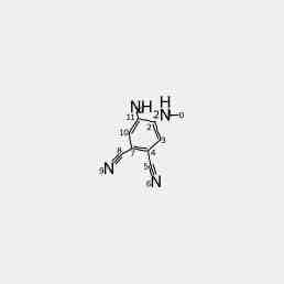 CNc1cc(C#N)c(C#N)cc1N